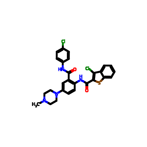 CN1CCN(c2ccc(NC(=O)c3sc4ccccc4c3Cl)c(C(=O)Nc3ccc(Cl)cc3)c2)CC1